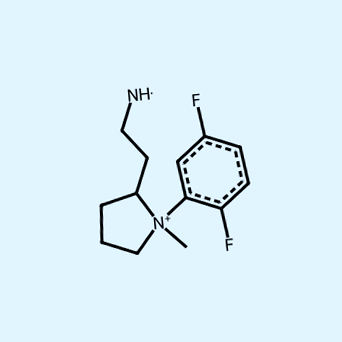 C[N+]1(c2cc(F)ccc2F)CCCC1CC[NH]